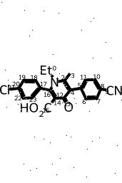 CCn1c(C)c(-c2ccc(C#N)cc2)c(=O)c(C(=O)O)c1-c1ccc(Cl)cc1